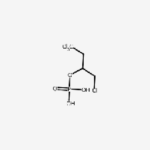 O=P(O)(O)OC(CCl)CC(Cl)(Cl)Cl